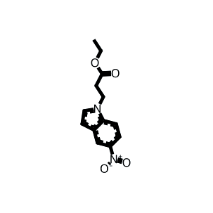 CCOC(=O)CCn1ccc2cc([N+](=O)[O-])ccc21